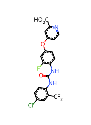 O=C(Nc1ccc(Oc2ccnc(C(=O)O)c2)cc1F)Nc1ccc(Cl)cc1C(F)(F)F